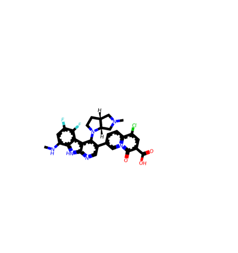 CNc1cc(F)c(F)c2c1[nH]c1ncc(-c3ccc4c(Cl)cc(C(=O)O)c(=O)n4c3)c(N3CC[C@@H]4CN(C)C[C@@H]43)c12